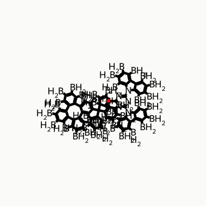 BC1=C(B)C(B)(C(c2c(B)c(B)c(B)c(B)c2B)(c2c(B)c(B)c(B)c(B)c2B)c2c(B)c(B)c3c(c2B)-c2c(B)c(B)c(B)c(B)c2-c2c(B)c(B)c(B)c(B)c2-c2c(B)c(B)c(B)c(B)c2-3)C(B)=C1c1nc(-n2c3c(B)c(B)c(B)c(B)c3c3c(B)c(B)c(B)c(B)c32)nc(-n2c3c(B)c(B)c(B)c(B)c3c3c(B)c(B)c(B)c(B)c32)n1